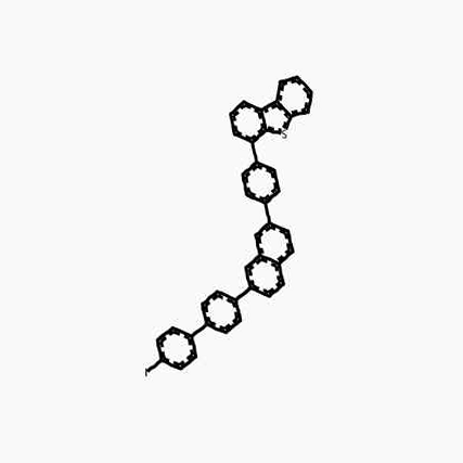 Ic1ccc(-c2ccc(-c3ccc4ccc(-c5ccc(-c6cccc7c6sc6ccccc67)cc5)cc4c3)cc2)cc1